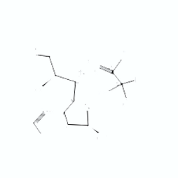 C/C=C\[C@H]1C[C@H](C(=O)O)N[C@H]1[C@@H](NC(C)=O)[C@@H](O)CO.O=C(O)C(F)(F)F